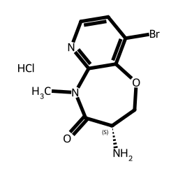 CN1C(=O)[C@@H](N)COc2c(Br)ccnc21.Cl